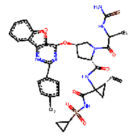 C=C[C@@H]1CC1(NC(=O)[C@@H]1C[C@@H](Oc2nc(-c3ccc(C(F)(F)F)cc3)nc3c2oc2ccccc23)CN1C(=O)C(NC(N)=S)C(C)(C)C)C(=O)NS(=O)(=O)C1CC1